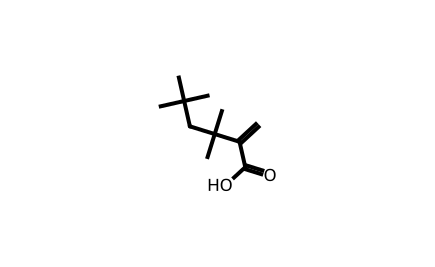 C=C(C(=O)O)C(C)(C)CC(C)(C)C